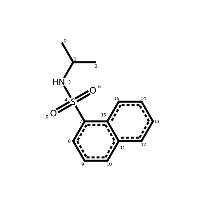 CC(C)NS(=O)(=O)c1cccc2ccccc12